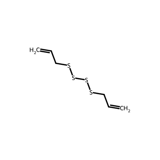 C=CCSSSSCC=C